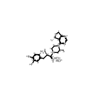 C[C@@H]1SCc2ncnc(N3CCN(C(=O)[C@H](N)Cc4ccc(F)c(F)c4)C[C@@H]3C)c21.Cl.Cl